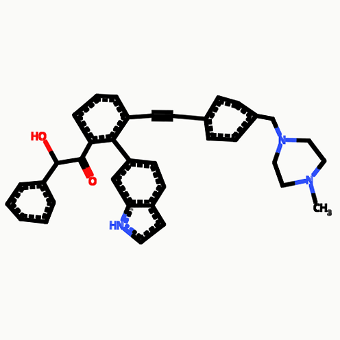 CN1CCN(Cc2ccc(C#Cc3cccc(C(=O)C(O)c4ccccc4)c3-c3ccc4cc[nH]c4c3)cc2)CC1